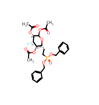 CC(=O)OC1O[C@H](CCP(=O)(OCc2ccccc2)OCc2ccccc2)[C@@H](OC(C)=O)[C@H](F)[C@@H]1OC(C)=O